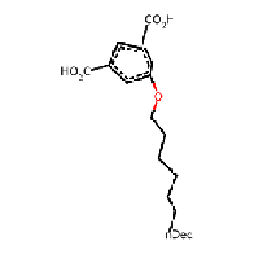 CCCCCCCCCCCCCCCCOc1cc(C(=O)O)cc(C(=O)O)c1